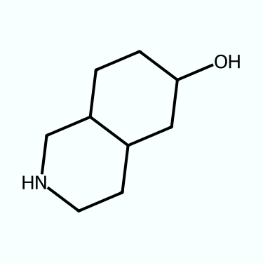 OC1CCC2CNCCC2C1